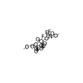 COc1cc(-c2ccc(N(Cc3ccc(C)cc3)C(=O)C(F)(F)F)cc2F)c(OC)c(OS(C)(=O)=O)c1-c1ccc(OCc2ccc(C)cc2)c(OS(C)(=O)=O)c1